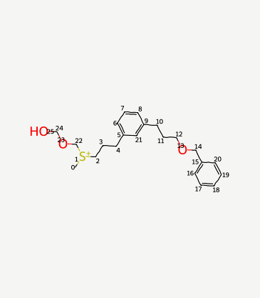 C[S+](CCCc1cccc(CCCOCc2ccccc2)c1)COCO